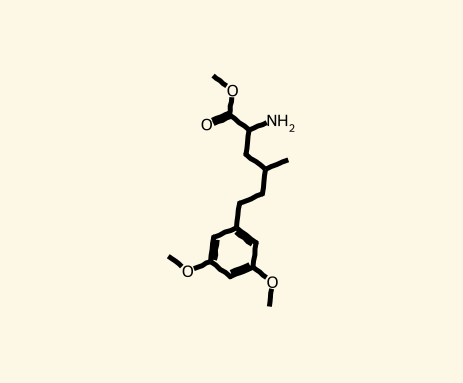 COC(=O)C(N)CC(C)CCc1cc(OC)cc(OC)c1